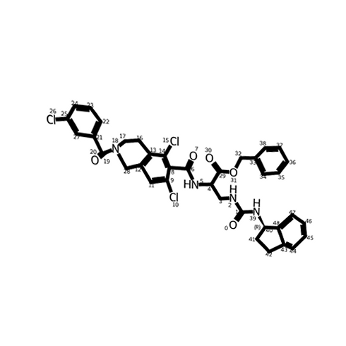 O=C(NCC(NC(=O)c1c(Cl)cc2c(c1Cl)CCN(C(=O)c1cccc(Cl)c1)C2)C(=O)OCc1ccccc1)N[C@@H]1CCc2ccccc21